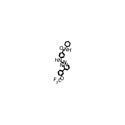 O=C(NC1CCCCC1)c1ccc(Nc2nc3c(-c4cccc(OC(F)(F)F)c4)cccn3n2)cc1